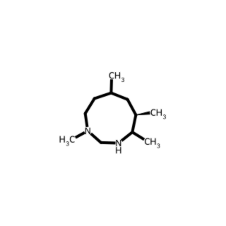 CC1CCN(C)CNC(C)[C@H](C)C1